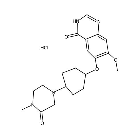 COc1cc2nc[nH]c(=O)c2cc1OC1CCC(N2CCN(C)C(=O)C2)CC1.Cl